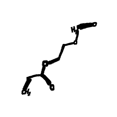 C=CC(=O)OCCO[PH2]=O